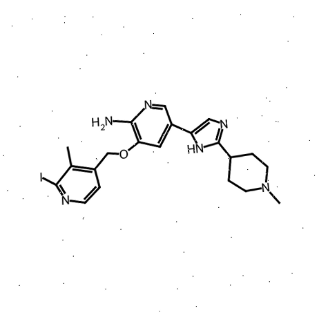 Cc1c(COc2cc(-c3cnc(C4CCN(C)CC4)[nH]3)cnc2N)ccnc1I